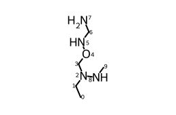 CCN(CONCN)NC